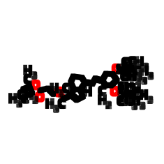 C=C1/C(=C\C=C2/CCC[C@]3(C)C(C(C)OCCC(=O)OC(C)(CC)CC)=CC[C@@H]23)C[C@@H](O[Si](C)(C)C(C)(C)C)C[C@@H]1O[Si](C)(C)C(C)(C)C